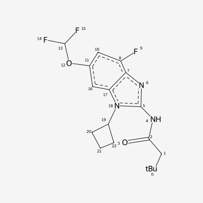 CC(C)(C)CC(=O)Nc1nc2c(F)cc(OC(F)F)cc2n1C1CCC1